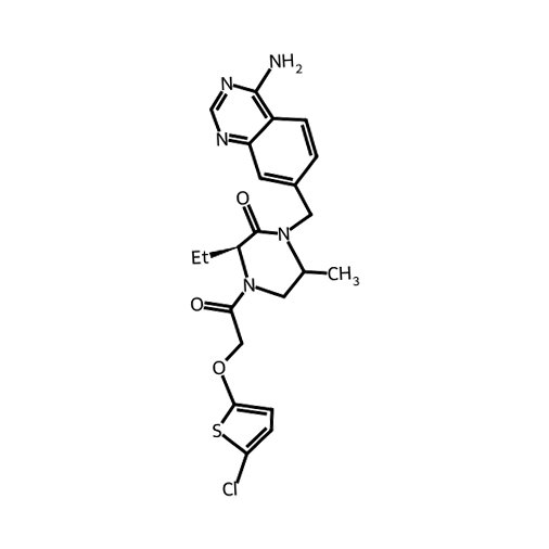 CC[C@H]1C(=O)N(Cc2ccc3c(N)ncnc3c2)C(C)CN1C(=O)COc1ccc(Cl)s1